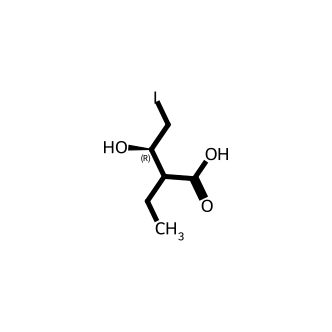 CCC(C(=O)O)[C@@H](O)CI